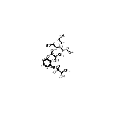 CC(O)C(=O)[O-].CC(O)C(=O)[O-].OCC[NH+](CCO)CCO.[Hg+][c]1ccccc1